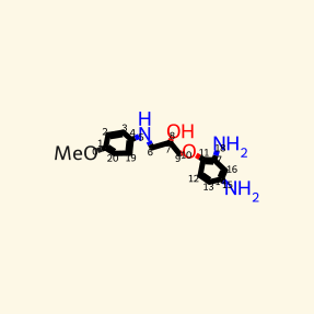 COc1ccc(NCC(O)COc2ccc(N)cc2N)cc1